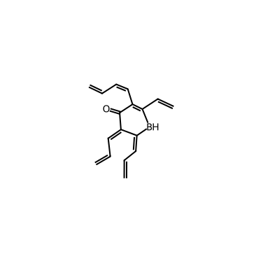 C=C/C=C\C1=C(C=C)BC(=C/C=C)/C(=C\C=C)C1=O